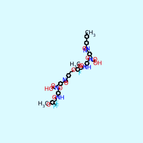 COc1ccc(CC(=O)Nc2ccc(C(=O)N(CC(=O)O)Cc3ccc(-c4nc(-c5ccc(CCOc6cc(F)c(CC(=O)Nc7ccc(C(=O)N(CC(=O)O)Cc8ccc(-c9noc(-c%10ccc(-c%11ccc(C)cc%11)cc%10)n9)cc8)cc7)c(OC)c6)cc5)co4)cc3)cc2)c(C(F)(F)F)c1